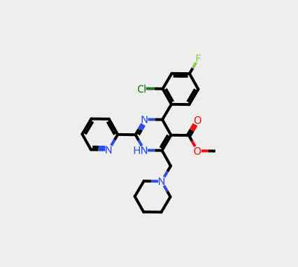 COC(=O)C1=C(CN2CCCCC2)NC(c2ccccn2)=NC1c1ccc(F)cc1Cl